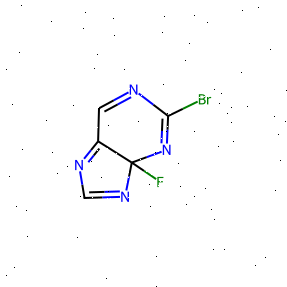 FC12N=CN=C1C=NC(Br)=N2